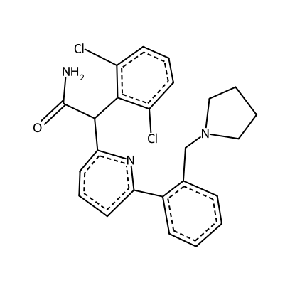 NC(=O)C(c1cccc(-c2ccccc2CN2CCCC2)n1)c1c(Cl)cccc1Cl